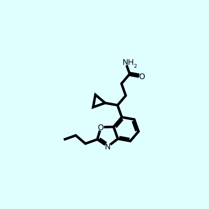 CCCc1nc2cccc(C(CCC(N)=O)C3CC3)c2o1